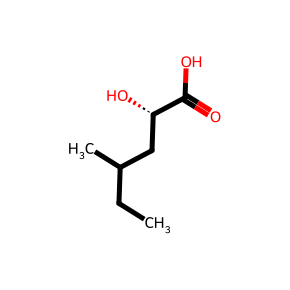 CCC(C)C[C@H](O)C(=O)O